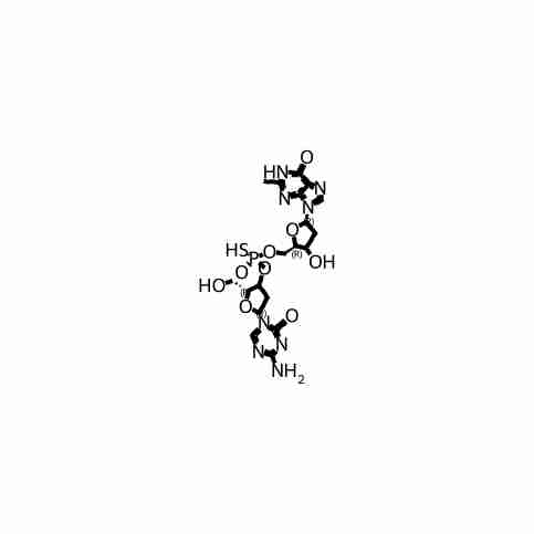 Cc1nc2c(ncn2[C@H]2CC(O)[C@@H](COP(=O)(S)OC3C[C@H](n4cnc(N)nc4=O)O[C@@H]3CO)O2)c(=O)[nH]1